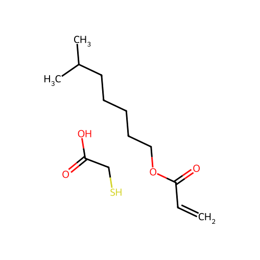 C=CC(=O)OCCCCCC(C)C.O=C(O)CS